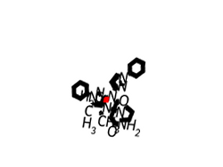 CCN(CC)C(CC(N)=O)(C(=O)N(c1ccn(C2CCCCC2)n1)c1cc(C)n(C2CCCCC2)n1)N1CCCC1